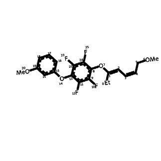 CC/C(=C\C=C/COC)Oc1c(F)c(F)c(Oc2cccc(OC)c2)c(F)c1F